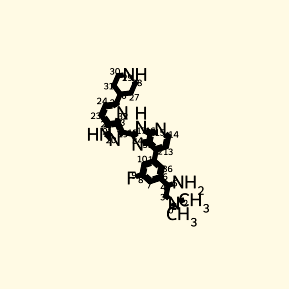 CN(C)CC(N)c1cc(F)cc(-c2ccnc3[nH]c(-c4n[nH]c5ccc(C6CCNCC6)nc45)nc23)c1